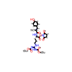 CC(C)(C)OC(=O)N=C(NCCC[C@H](NC(=O)/C(C#N)=C/c1ccc(O)cc1)C(=O)ON1C(=O)CCC1=O)NC(=O)OC(C)(C)C